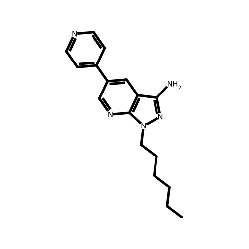 CCCCCCn1nc(N)c2cc(-c3ccncc3)cnc21